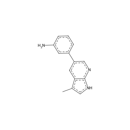 Cc1c[nH]c2ncc(-c3cccc(N)c3)cc12